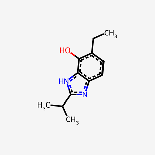 CCc1ccc2nc(C(C)C)[nH]c2c1O